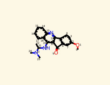 COc1ccc2c(c1)C(=O)c1c-2nc2ccccc2c1NC(C)N(C)C